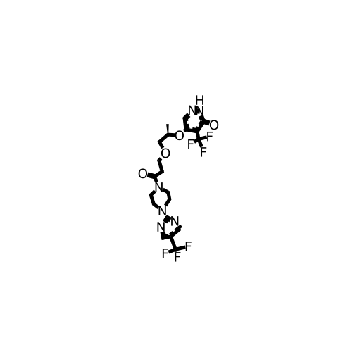 C[C@H](COCCC(=O)N1CCN(c2ncc(C(F)(F)F)cn2)CC1)Oc1cn[nH]c(=O)c1C(F)(F)F